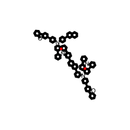 c1cc(-c2ccc3cc(-c4ccc5c6ccccc6n(-c6ccccc6-c6ccc(N(c7ccc(-c8ccc9ccccc9c8)cc7)c7ccc(-c8ccc9c(c8)oc8ccccc89)cc7)cc6)c5c4)ccc3c2)cc(N(c2ccc(-c3ccc4c(c3)oc3ccccc34)cc2)c2ccc(-c3ccccc3-n3c4ccccc4c4ccccc43)cc2)c1